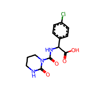 O=C(O)C(NC(=O)N1CCCNC1=O)c1ccc(Cl)cc1